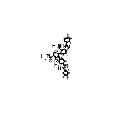 NCc1c(NC(=O)c2ccc(F)cc2)cccc1-c1ccc(C(N)=O)c2[nH]c3cc(C(=O)Nc4ccc(F)cc4)ccc3c12